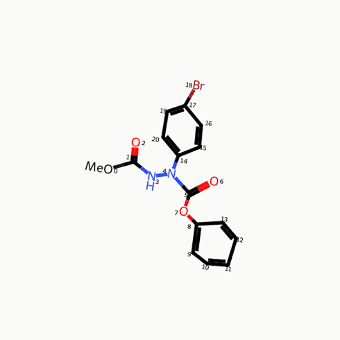 COC(=O)NN(C(=O)Oc1ccccc1)c1ccc(Br)cc1